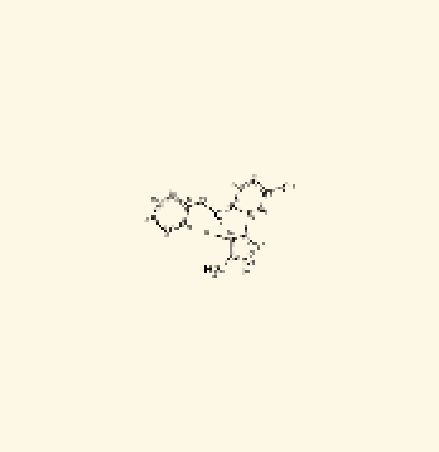 Cc1[nH]nc(-c2cc(Cl)ccc2OCc2ccccc2)c1I